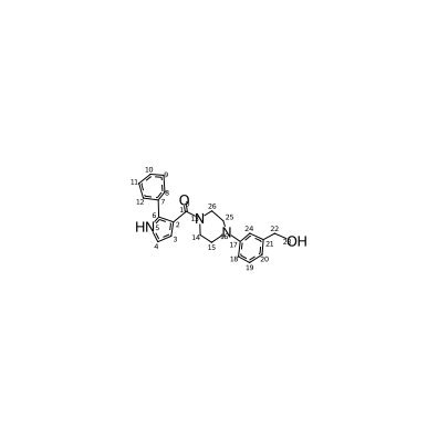 O=C(c1cc[nH]c1-c1ccccc1)N1CCN(c2cccc(CO)c2)CC1